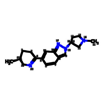 C[C@H]1CCC(c2ccc3cn([C@H]4CCN(C)C4)nc3c2)=NC1